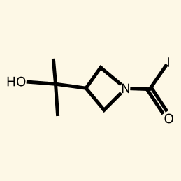 CC(C)(O)C1CN(C(=O)I)C1